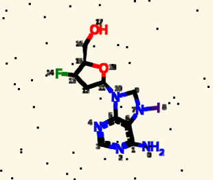 Nc1ncnc2c1N(I)CN2[C@H]1CC(F)[C@@H](CO)O1